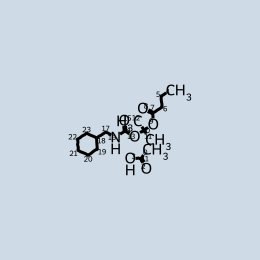 CC(=O)O.CCCC(=O)OC(C)(C)OC(=O)NCC1CCCCC1